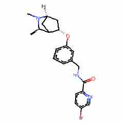 C[C@@H]1C2C[C@H](C[C@@H]2Oc2cccc(CNC(=O)c3ccc(Br)cn3)c2)N1C